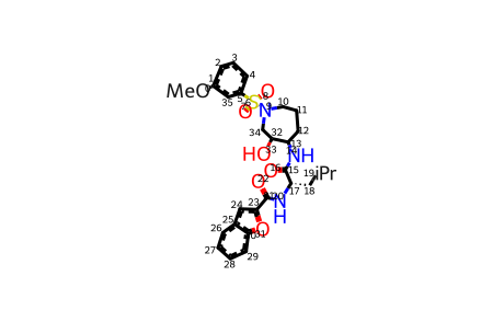 COc1cccc(S(=O)(=O)N2CCCC(NC(=O)[C@H](CC(C)C)NC(=O)c3cc4ccccc4o3)C(O)C2)c1